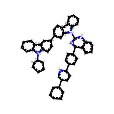 c1ccc(-c2ccc(-c3ccc(-c4nc(-n5c6ccccc6c6ccc(-c7ccc8c(c7)c7ccccc7n8-c7ccccc7)cc65)nc5ccccc45)cc3)nc2)cc1